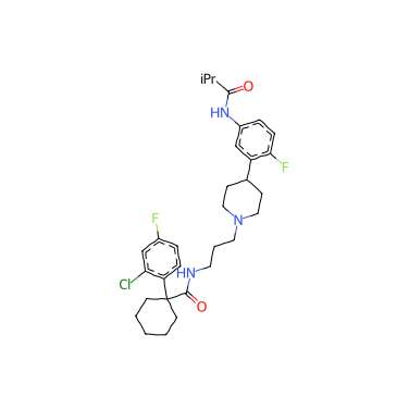 CC(C)C(=O)Nc1ccc(F)c(C2CCN(CCCNC(=O)C3(c4ccc(F)cc4Cl)CCCCC3)CC2)c1